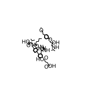 CCCCC(=O)N(Cc1ccc(-c2ccccc2-c2nnn[nH]2)cc1)[C@H](C(=O)O)C(C)C.COCCc1ccc(OCC(O)CNC(C)C)cc1.O=C(O)CCC(=O)O